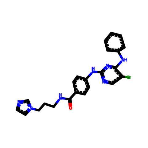 O=C(NCCCn1ccnc1)c1ccc(Nc2ncc(Br)c(Nc3ccccc3)n2)cc1